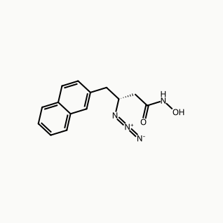 [N-]=[N+]=N[C@@H](CC(=O)NO)Cc1ccc2ccccc2c1